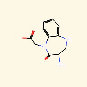 N[C@@H]1CNc2ccccc2N(CC(=O)O)C1=O